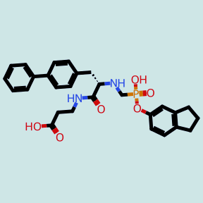 O=C(O)CCNC(=O)[C@H](Cc1ccc(-c2ccccc2)cc1)NCP(=O)(O)Oc1ccc2c(c1)CCC2